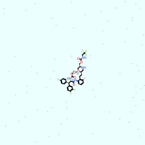 COC(=O)N[C@H](C(=O)Nc1cccc(F)c1CC[C@@H]1CN[C@H](COC(=O)NCC(F)(F)F)CO1)[C@H](c1ccc(F)cc1)c1ccc(F)c(F)c1